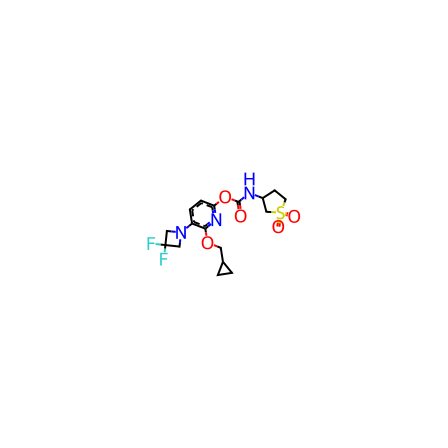 O=C(NC1CCS(=O)(=O)C1)Oc1ccc(N2CC(F)(F)C2)c(OCC2CC2)n1